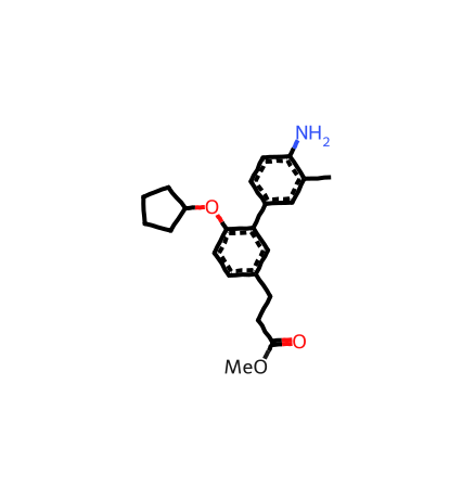 COC(=O)CCc1ccc(OC2CCCC2)c(-c2ccc(N)c(C)c2)c1